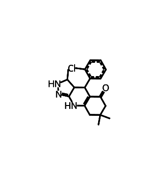 CC1NN=C2NC3=C(C(=O)CC(C)(C)C3)C(c3ccccc3Cl)C21